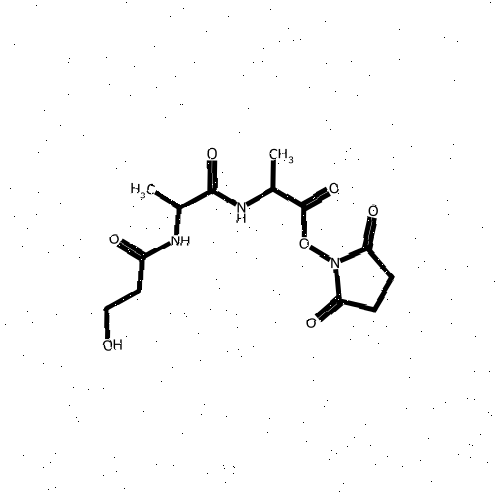 CC(NC(=O)CCO)C(=O)NC(C)C(=O)ON1C(=O)CCC1=O